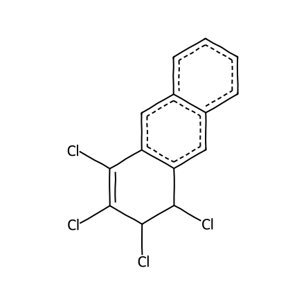 ClC1=C(Cl)C(Cl)C(Cl)c2cc3ccccc3cc21